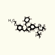 CCOc1ccc(Cc2nc3cc(C(=O)N(CC(F)(F)F)CC(F)(F)F)ccc3n2CC2CCCCC2)cc1